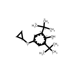 CC(C)(C)c1cc(OC2CC2)cc(C(C)(C)C)c1O